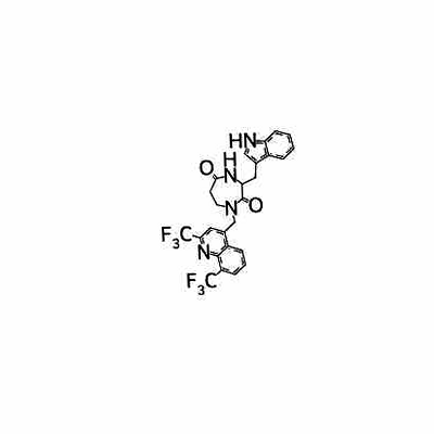 O=C1CCN(Cc2cc(C(F)(F)F)nc3c(C(F)(F)F)cccc23)C(=O)C(Cc2c[nH]c3ccccc23)N1